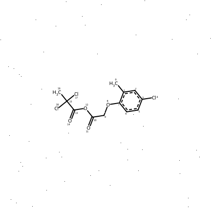 Cc1cc(Cl)ccc1OCC(=O)OC(=O)C(C)(Cl)Cl